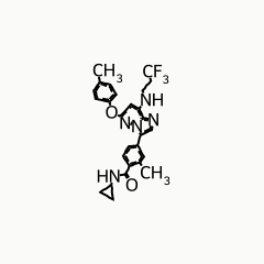 Cc1ccc(Oc2cc(NCCC(F)(F)F)c3ncc(-c4ccc(C(=O)NC5CC5)c(C)c4)n3n2)cc1